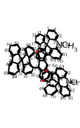 CN1c2ccccc2C(c2ccccc2)(c2ccccc2)c2c(-c3cccc4c(-c5cccc6c5-c5ccccc5C65c6ccccc6-c6ccccc65)c5cccc(-c6cccc7c6C(c6ccccc6)(c6ccccc6)c6ccccc6N7C)c5cc34)cccc21